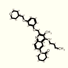 CCCCOc1c(C)c(COc2cccc(OCC3CCOCC3)c2)nc2ccc(N3CCCCC3=O)cc12